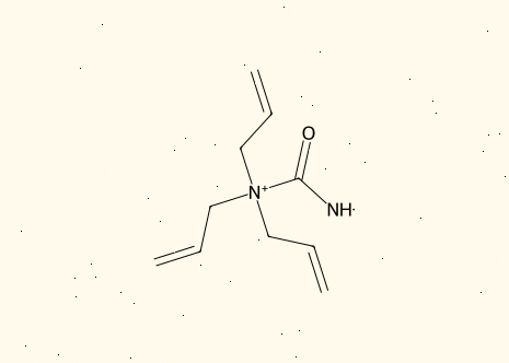 C=CC[N+](CC=C)(CC=C)C([NH])=O